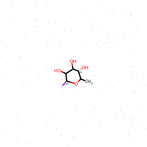 CC1O[C@@H](I)C(O)C(O)[C@@H]1O